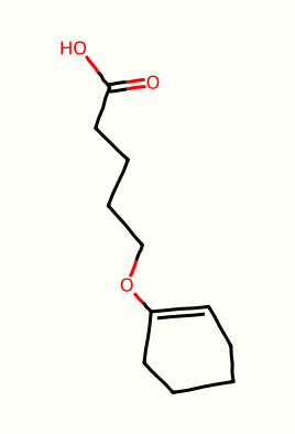 O=C(O)CCCCOC1=CCCCC1